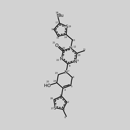 Cc1cc(C2=CCN(c3nc(C)n(Cc4ccc(C(C)(C)C)s4)c(=O)n3)CC2O)cs1